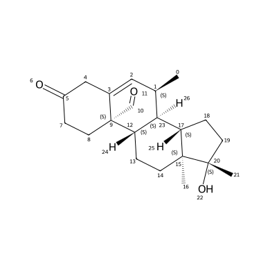 C[C@@H]1C=C2CC(=O)CC[C@]2(C=O)[C@H]2CC[C@@]3(C)[C@@H](CC[C@]3(C)O)[C@H]12